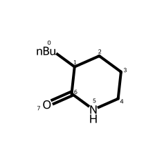 CCCCC1CCCNC1=O